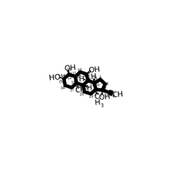 C#C[C@]1(O)CC[C@H]2[C@@H]3[C@H](O)CC4[C@H](O)[C@@H](O)CC[C@]4(C)[C@H]3CC[C@@]21C